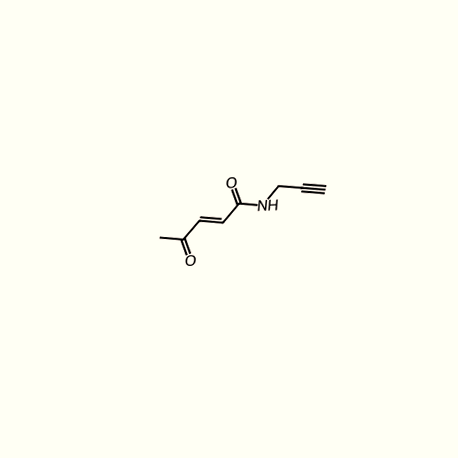 C#CCNC(=O)/C=C/C(C)=O